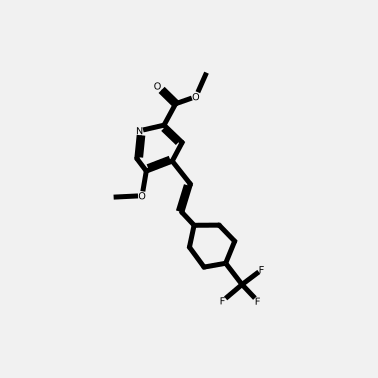 COC(=O)c1cc(C=CC2CCC(C(F)(F)F)CC2)c(OC)cn1